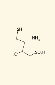 CC(CCS)CS(=O)(=O)O.N